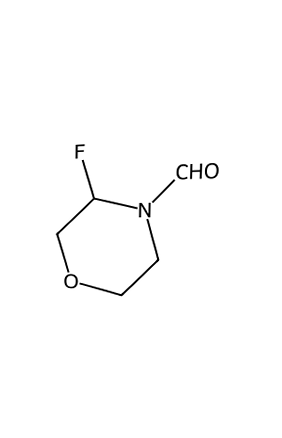 O=CN1CCOCC1F